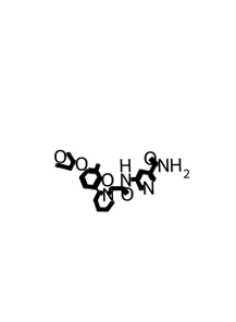 Cc1cc([C@@H]2CCCCN2C(=O)C(=O)Nc2cncc(C(N)=O)c2)ccc1OC1CCOC1